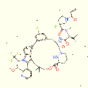 C=CC(=O)N1CC[C@](F)(C(=O)N(C)[C@H](C(=O)N[C@H]2Cc3cc(F)cc(c3)-c3ccc4c(c3)c(c(-c3cccnc3[C@H](C)OC)n4CC(F)(F)F)CC(C)(C)COC(=O)[C@@H]3CCCN(N3)C2=O)C(C)C)C1